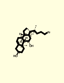 CC(C)CCC[C@@H](C)[C@H]1CC[C@H]2[C@@H]3CC=C4C[C@H](O)CC[C@]4(C)[C@H]3[C@@H](O)C[C@]12C